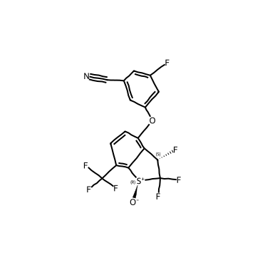 N#Cc1cc(F)cc(Oc2ccc(C(F)(F)F)c3c2[C@H](F)C(F)(F)[S@@+]3[O-])c1